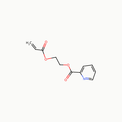 C=CC(=O)OCCOC(=O)c1ccccn1